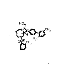 Cc1ccc(C)c(-c2ccc([C@@H]3[C@@H](CO)N4CCCCN(S(=O)(=O)c5ccccc5C)C[C@@H]34)cc2)c1